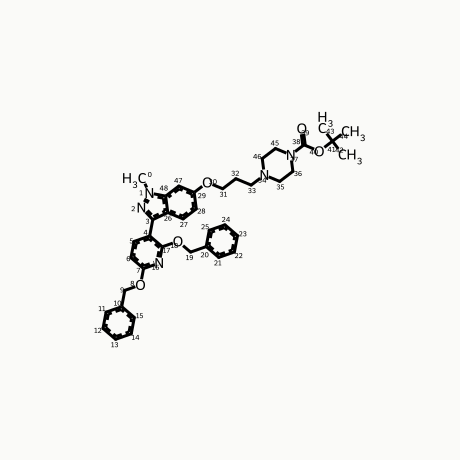 Cn1nc(-c2ccc(OCc3ccccc3)nc2OCc2ccccc2)c2ccc(OCCCN3CCN(C(=O)OC(C)(C)C)CC3)cc21